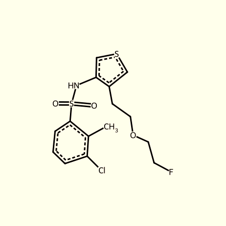 Cc1c(Cl)cccc1S(=O)(=O)Nc1cscc1CCOCCF